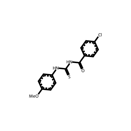 COc1ccc(NC(=S)NC(=O)c2ccc(Cl)cc2)cc1